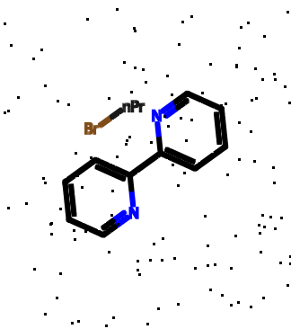 CCCBr.c1ccc(-c2ccccn2)nc1